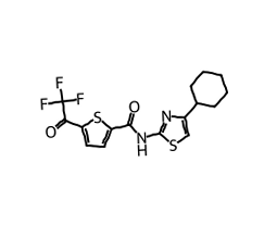 O=C(Nc1nc(C2CCCCC2)cs1)c1ccc(C(=O)C(F)(F)F)s1